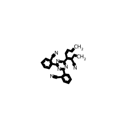 C=C/C=C\C(=C(\C#N)C=C)c1nc(-c2ccccc2C#N)nc(-c2ccccc2C#N)n1